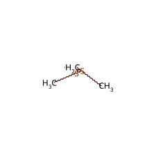 [CH2]c1cc(SCCCCCCCCCCCCCCCC)cc(SCCCCCCCCCCCCCCCC)c1